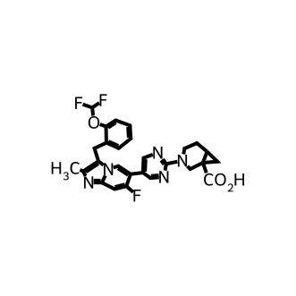 Cc1nc2cc(F)c(-c3cnc(N4CCC5CC5(C(=O)O)C4)nc3)cn2c1Cc1ccccc1OC(F)F